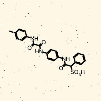 Cc1ccc(NC(=O)C(=O)Nc2ccc(NC(=O)C(c3ccccc3)S(=O)(=O)O)cc2)cc1